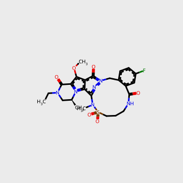 CCN1C[C@H](C)n2c(c(OC)c3c(=O)n4nc(c32)N(C)S(=O)(=O)CCCNC(=O)c2cc(F)ccc2C4)C1=O